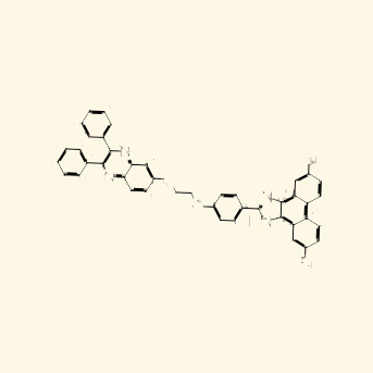 Brc1ccc2c3ccc(Br)cc3c3[nH]c(-c4ccc(OCCOc5ccc6nc(-c7ccccc7)c(-c7ccccc7)nc6c5)cc4)nc3c2c1